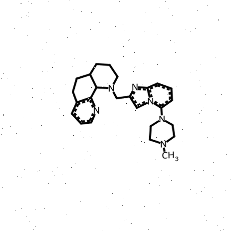 CN1CCN(c2cccc3nc(CN4CCCC5CCc6cccnc6C54)cn23)CC1